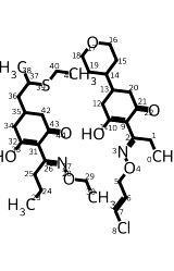 CC/C(=N\OC/C=C/Cl)C1=C(O)CC(C2CCOCC2)CC1=O.CCCC(=NOCC)C1=C(O)CC(CC(C)SCC)CC1=O